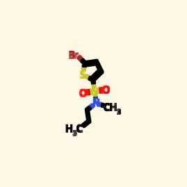 CCCN(C)S(=O)(=O)c1ccc(Br)s1